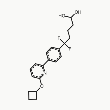 OC(O)CCCC(F)(F)c1ccc(-c2cccc(OC3CCC3)n2)cc1